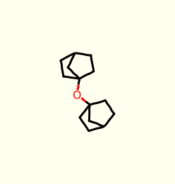 C1CC2(OC34CCC(CC3)C4)CCC1C2